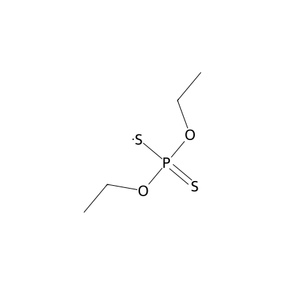 CCOP([S])(=S)OCC